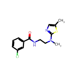 Cc1cnc(N(C)CCNC(=O)c2cccc(Cl)c2)s1